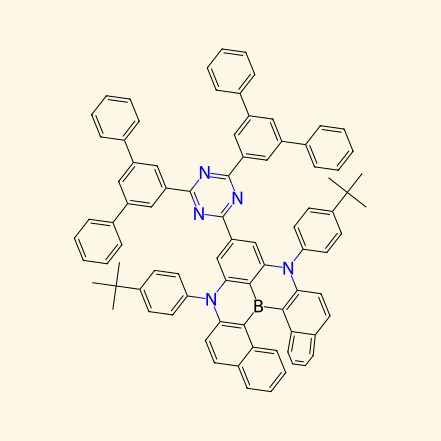 CC(C)(C)c1ccc(N2c3cc(-c4nc(-c5cc(-c6ccccc6)cc(-c6ccccc6)c5)nc(-c5cc(-c6ccccc6)cc(-c6ccccc6)c5)n4)cc4c3B(c3c2ccc2ccccc32)c2c(ccc3ccccc23)N4c2ccc(C(C)(C)C)cc2)cc1